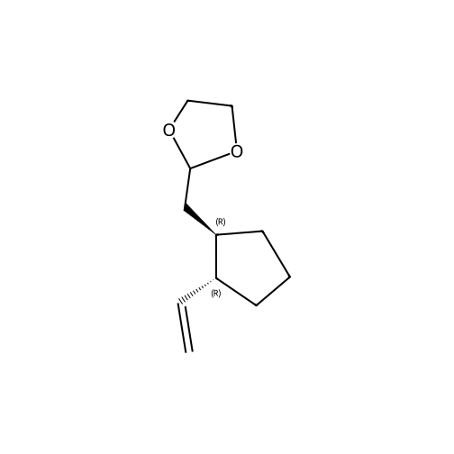 C=C[C@H]1CCC[C@@H]1CC1OCCO1